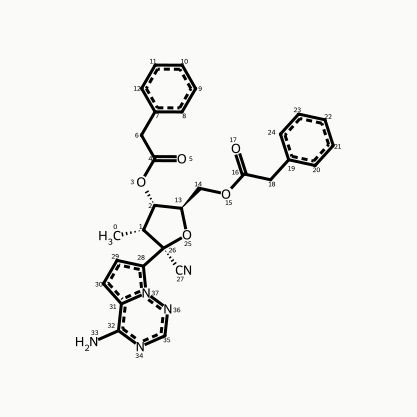 C[C@@H]1[C@H](OC(=O)Cc2ccccc2)[C@@H](COC(=O)Cc2ccccc2)O[C@@]1(C#N)c1ccc2c(N)ncnn12